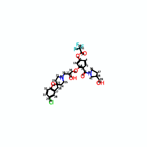 O=C(c1ccc(OC(=O)C(F)(F)F)cc1OC[C@H](O)CN1CCC2(CC1)Cc1cc(Cl)ccc1O2)N1CCC(CO)C1